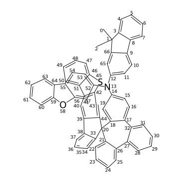 CC1(C)c2ccccc2-c2ccc(N(c3ccc4c(c3)C3(c5ccccc5-c5ccccc5-4)c4ccccc4-c4cc5c(cc43)sc3ccccc35)c3ccc4c(c3)oc3ccccc34)cc21